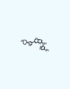 CC(C)c1cnnc(Nc2ccc3ncc(-c4cnn(C5CCN(C)CC5)c4)cc3n2)c1